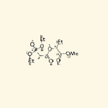 CCOP(=O)(CC(=O)OC(CC)C(=O)OC)OCC